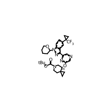 CC(C)(C)OC(=O)N1CCC2(CC2)[C@@H](Oc2cncc(-c3nn(C4CCCCO4)c4ccc(C5(C(F)(F)F)CC5)cc34)n2)C1